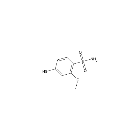 COc1cc(S)ccc1S(N)(=O)=O